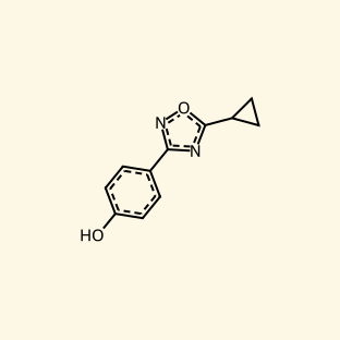 Oc1ccc(-c2noc(C3CC3)n2)cc1